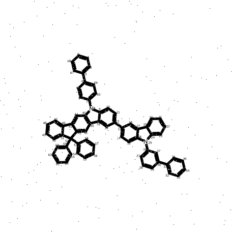 c1ccc(-c2ccc(-n3c4ccc(-c5ccc6c(c5)c5ccccc5n6-c5cccc(-c6ccccc6)c5)cc4c4cc5c(cc43)-c3ccccc3C5(c3ccccc3)c3ccccc3)cc2)cc1